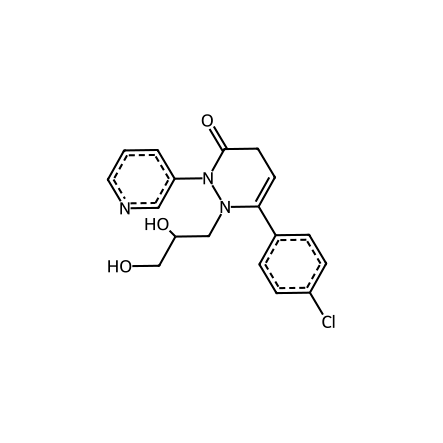 O=C1CC=C(c2ccc(Cl)cc2)N(CC(O)CO)N1c1cccnc1